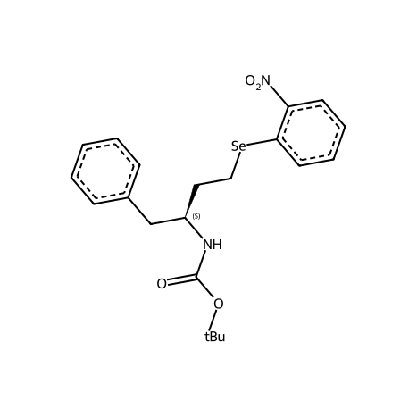 CC(C)(C)OC(=O)N[C@H](CC[Se]c1ccccc1[N+](=O)[O-])Cc1ccccc1